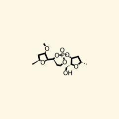 CO[C@H]1C[C@H](C)O[C@@H]1[C@@H]1CCO[P@@](=O)(O[C@H]2C[C@H](C)O[C@@H]2CO)O1